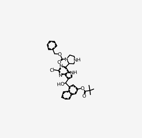 CC(C)(C)C(=O)Oc1cc(C(O)c2c[nH]c3c(C4CNCCN4C(=O)OCc4ccccc4)nc(Cl)nc23)c2ccccc2c1